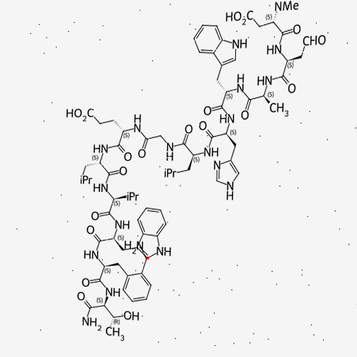 CN[C@@H](CC(=O)O)C(=O)N[C@@H](CC=O)C(=O)N[C@@H](C)C(=O)N[C@@H](Cc1c[nH]c2ccccc12)C(=O)N[C@@H](Cc1c[nH]cn1)C(=O)N[C@@H](CC(C)C)C(=O)NCC(=O)N[C@@H](CCC(=O)O)C(=O)N[C@@H](CC(C)C)C(=O)N[C@H](C(=O)N[C@@H](Cc1c[nH]c2ccccc12)C(=O)N[C@@H](Cc1ccccc1CN)C(=O)N[C@H](C(N)=O)[C@@H](C)O)C(C)C